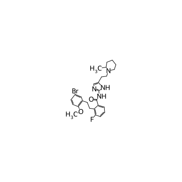 COc1ccc(Br)cc1CCc1c(F)cccc1C(=O)Nc1ncc(CCN2CCCCC2C)[nH]1